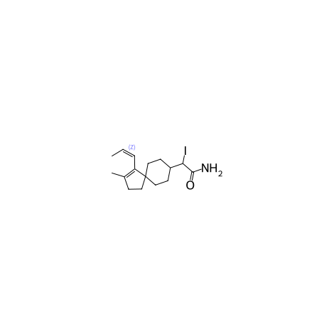 C/C=C\C1=C(C)CCC12CCC(C(I)C(N)=O)CC2